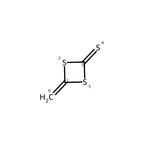 C=C1SC(=S)S1